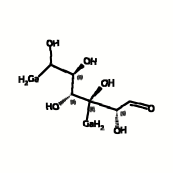 O=C[C@H](O)[C@](O)([GaH2])[C@H](O)[C@H](O)[CH](O)[GaH2]